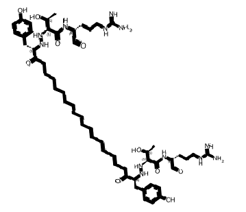 C[C@H](O)[C@H](NN[C@@H](Cc1ccc(O)cc1)C(=O)CCCCCCCCCCCCCCCCCC(=O)[C@H](Cc1ccc(O)cc1)NN[C@H](C(=O)N[C@@H](C=O)CCCNC(=N)N)[C@H](C)O)C(=O)N[C@@H](C=O)CCCNC(=N)N